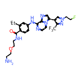 CCc1cc(Nc2nccn3c(-c4cn(CCF)nc4C(F)(F)F)cnc23)ccc1C(=O)NCCOCCN